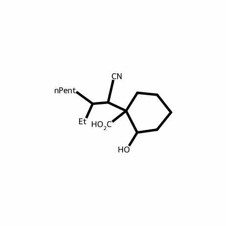 CCCCCC(CC)C(C#N)C1(C(=O)O)CCCCC1O